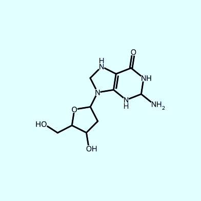 NC1NC(=O)C2=C(N1)N(C1CC(O)C(CO)O1)CN2